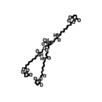 CC(=O)NC(COCCC(=O)NCCCCCCCC(=O)ON1C(=O)CCC1=O)(COCCC(=O)NCCCCCCCC(=O)ON1C(=O)CCC1=O)COCCC(=O)NCCCCCCC(=O)CON1C(=O)CCC1=O